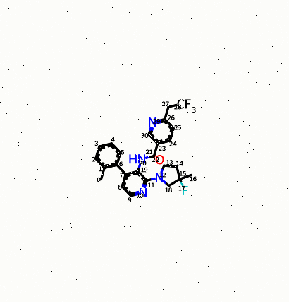 Cc1ccccc1-c1ccnc(N2CCC(C)(F)C2)c1NC(=O)c1ccc(CC(F)(F)F)nc1